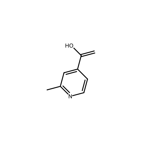 C=C(O)c1ccnc(C)c1